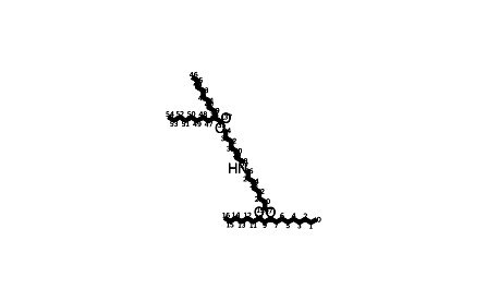 CCCCCCCCC(CCCCCCCC)OC(=O)CCCCCCCNCCCCCCCOC(=O)C(CCCCCCCC)CCCCCCCC